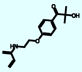 C=CC(=C)NCCOc1ccc(C(=O)C(C)(C)O)cc1